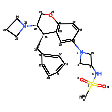 CCCS(=O)(=O)NC1CN(c2ccc3c(c2)[C@H](Cc2ccccc2)[C@H](N2CCC2)CO3)C1